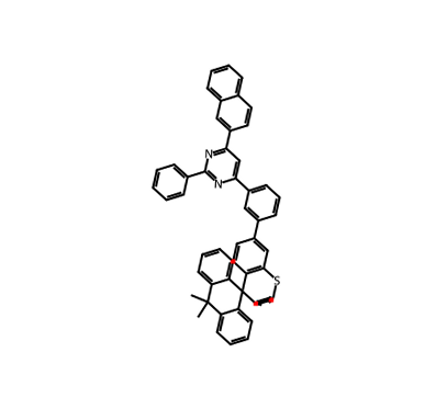 CC1(C)c2ccccc2C2(c3ccccc3Sc3cc(-c4cccc(-c5cc(-c6ccc7ccccc7c6)nc(-c6ccccc6)n5)c4)ccc32)c2ccccc21